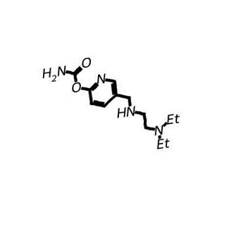 CCN(CC)CCNCc1ccc(OC(N)=O)nc1